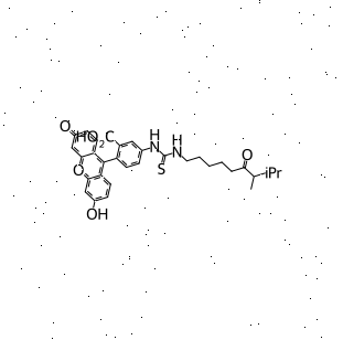 CC(C)C(C)C(=O)CCCCCNC(=S)Nc1ccc(-c2c3ccc(=O)cc-3oc3cc(O)ccc23)c(C(=O)O)c1